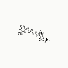 CCOC(=O)c1ccn(C)c1CCCCOCc1cccc(Cl)c1